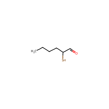 CCCCC(S)C=O